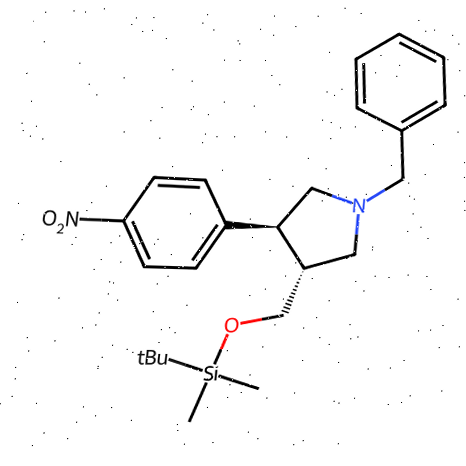 CC(C)(C)[Si](C)(C)OC[C@H]1CN(Cc2ccccc2)C[C@@H]1c1ccc([N+](=O)[O-])cc1